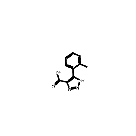 Cc1ccccc1-c1[nH]nnc1C(=O)O